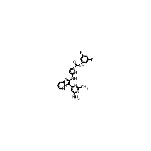 Cc1nc(N)cc(-c2c(Nc3ccn(C(=O)Nc4cc(F)cc(F)c4)n3)nc3cccnn23)n1